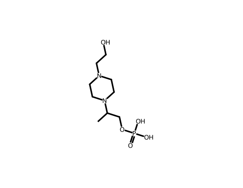 CC(COP(=O)(O)O)N1CCN(CCO)CC1